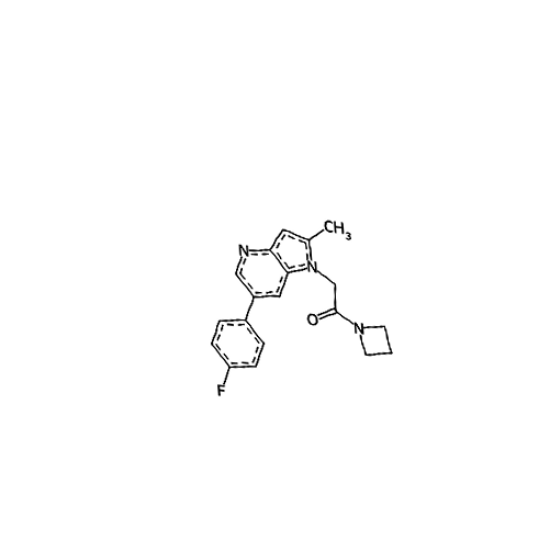 Cc1cc2ncc(-c3ccc(F)cc3)cc2n1CC(=O)N1CCC1